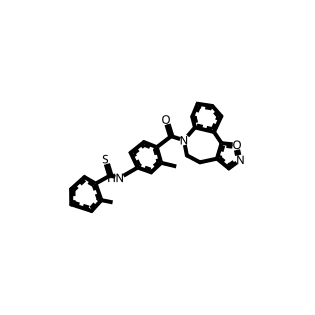 Cc1cc(NC(=S)c2ccccc2C)ccc1C(=O)N1CCc2cnoc2-c2ccccc21